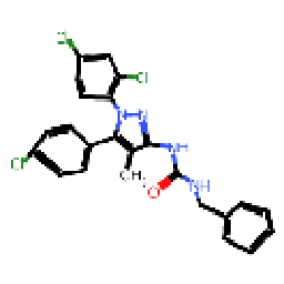 Cc1c(NC(=O)NCc2ccccc2)nn(-c2ccc(Cl)cc2Cl)c1-c1ccc(Cl)cc1